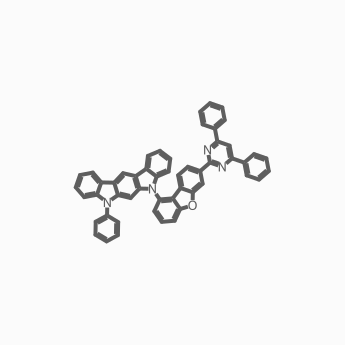 c1ccc(-c2cc(-c3ccccc3)nc(-c3ccc4c(c3)oc3cccc(-n5c6ccccc6c6cc7c8ccccc8n(-c8ccccc8)c7cc65)c34)n2)cc1